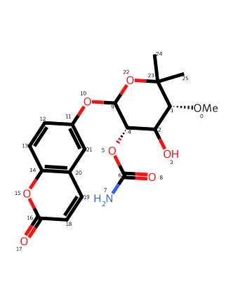 CO[C@@H]1C(O)[C@H](OC(N)=O)C(Oc2ccc3oc(=O)ccc3c2)OC1(C)C